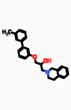 Cc1cccc(-c2cccc(OCC(O)CN3CCc4ccccc4C3)c2)c1